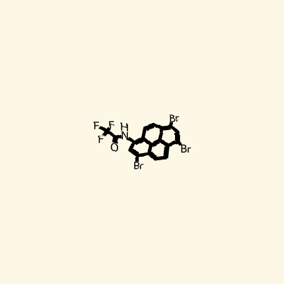 O=C(Nc1cc(Br)c2ccc3c(Br)cc(Br)c4ccc1c2c34)C(F)(F)F